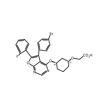 CCc1ccc(-c2c(-c3ccccc3F)oc3ncnc(O[C@@H]4CCC[C@H](OCC(=O)O)C4)c23)cc1